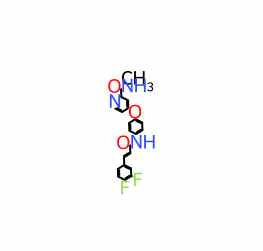 CNC(=O)c1cc(Oc2ccc(NC(=O)/C=C/c3ccc(F)c(F)c3)cc2)ccn1